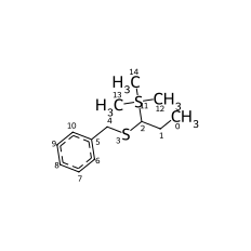 CCC(SCc1ccccc1)S(C)(C)C